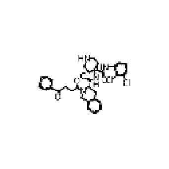 O=C(CCC(=O)N1Cc2ccccc2C[C@H]1C(=O)NC1(C(=O)Nc2cccc(Cl)c2Cl)CCNCC1)c1ccccc1